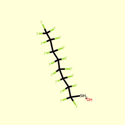 O[SiH2]C(F)(F)C(F)(F)C(F)(F)C(F)(F)C(F)(F)C(F)(F)C(F)(F)C(F)(F)F